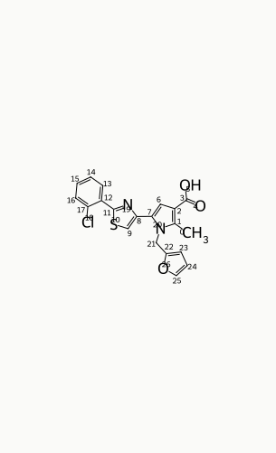 Cc1c(C(=O)O)cc(-c2csc(-c3ccccc3Cl)n2)n1Cc1ccco1